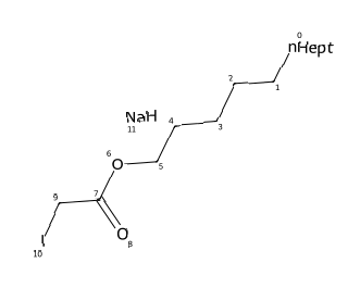 CCCCCCCCCCCCOC(=O)CI.[NaH]